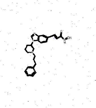 O=C(/C=C/c1ccc2c(c1)ncn2C1CCCN(CCCc2ccccc2)C1)NO